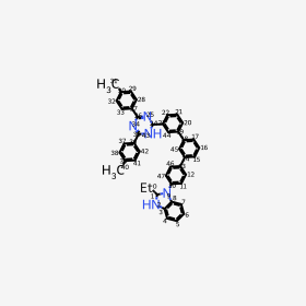 CCC1Nc2ccccc2N1c1ccc(-c2cccc(-c3cccc(C4N=C(c5ccc(C)cc5)N=C(c5ccc(C)cc5)N4)c3)c2)cc1